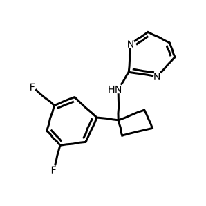 Fc1cc(F)cc(C2(Nc3ncccn3)CCC2)c1